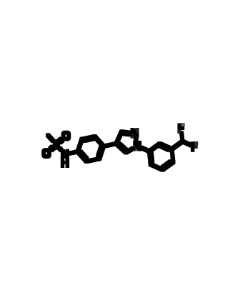 CS(=O)(=O)Nc1ccc(-c2cnn(-c3cccc(C(F)F)c3)c2)cc1